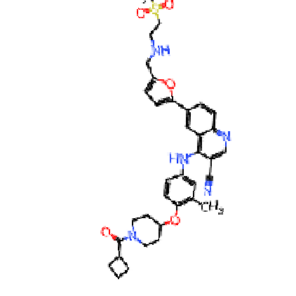 Cc1cc(Nc2c(C#N)cnc3ccc(-c4ccc(CNCCS(C)(=O)=O)o4)cc23)ccc1OC1CCN(C(=O)C2CCC2)CC1